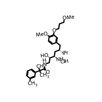 COCCCOc1cc(C[C@@H](C[C@H](N)[C@@H](O)CNC(=O)C(C)(C)c2cccc(C)c2)C(C)C)ccc1OC.Cl